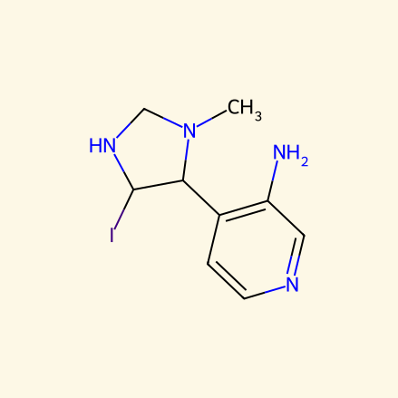 CN1CNC(I)C1c1ccncc1N